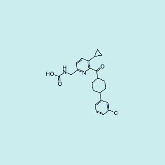 O=C(O)NCc1ccc(C2CC2)c(C(=O)C2CCC(c3cccc(Cl)c3)CC2)n1